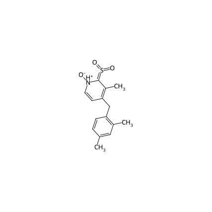 CC1=C(Cc2ccc(C)cc2C)C=C[NH+]([O-])C1=S(=O)=O